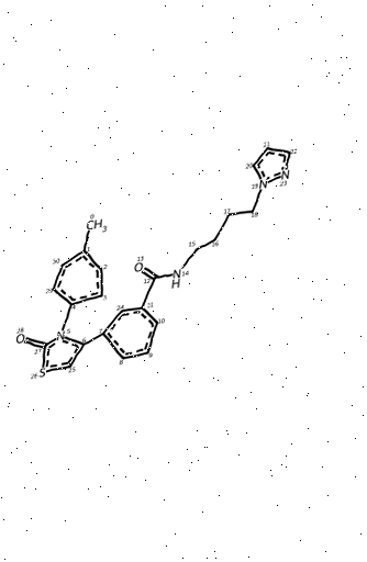 Cc1ccc(-n2c(-c3cccc(C(=O)NCCCCn4cccn4)c3)csc2=O)cc1